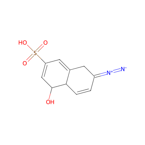 [N-]=[N+]=C1C=CC2C(=CC(S(=O)(=O)O)=CC2O)C1